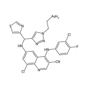 N#Cc1cnc2c(Cl)cc(NC(c3cscn3)c3cn(CC[AsH2])nn3)cc2c1Nc1ccc(F)c(Cl)c1